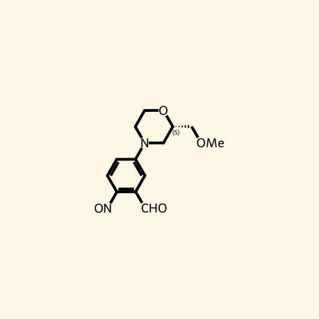 COC[C@@H]1CN(c2ccc(N=O)c(C=O)c2)CCO1